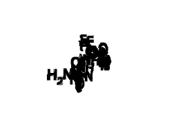 CCOc1nc(N)nc(NC(=O)[C@H](C)Nc2cc(C(=O)N3CCN(C)CC3)cc(C(F)(F)F)c2)c1C#N